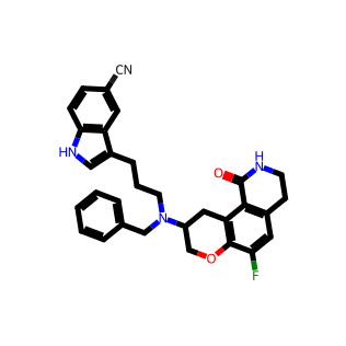 N#Cc1ccc2[nH]cc(CCCN(Cc3ccccc3)C3COc4c(F)cc5c(c4C3)C(=O)NCC5)c2c1